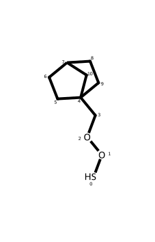 SOOCC12CCC(CC1)C2